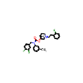 Cc1cccc(N(Cc2ccc(F)c(F)c2)C(=O)OC2C[N+]3(CCc4ccccc4F)CCC2CC3)c1